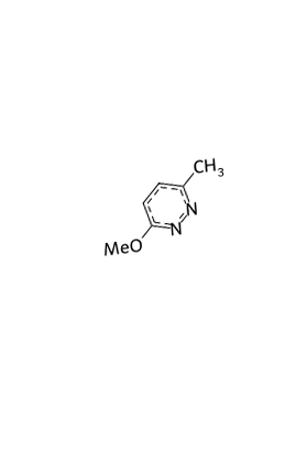 COc1ccc(C)nn1